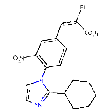 CCC(=Cc1ccc(-n2ccnc2C2CCCCC2)c([N+](=O)[O-])c1)C(=O)O